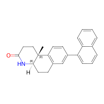 C[C@]12CCC(=O)N[C@@H]1CCc1cc(-c3cccc4ccccc34)ccc12